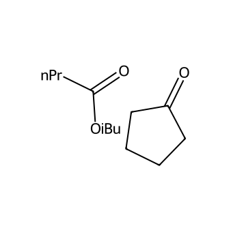 CCCC(=O)OCC(C)C.O=C1CCCC1